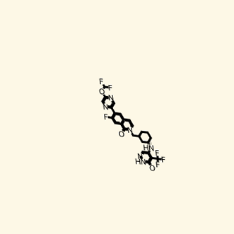 O=c1[nH]ncc(N[C@H]2CCCC(Cn3ccc4cc(-c5cnc(OC(F)F)cn5)c(F)cc4c3=O)C2)c1C(F)(F)F